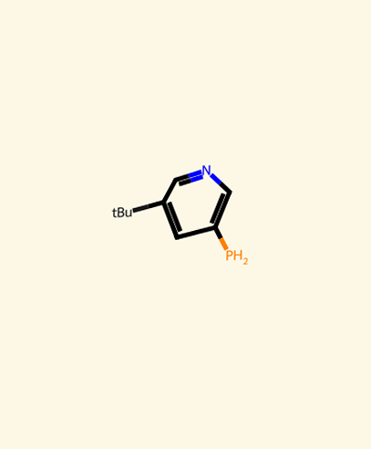 CC(C)(C)c1cncc(P)c1